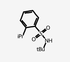 CC(C)c1ccccc1S(=O)(=O)NC(C)(C)C